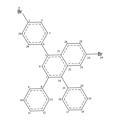 Brc1ccc(-c2cc(-c3ccccc3)c(-c3ccccc3)c3cc(Br)ccc23)cc1